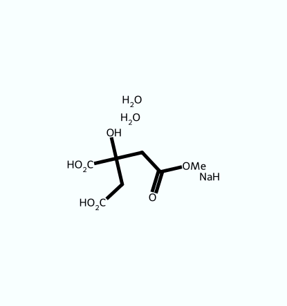 COC(=O)CC(O)(CC(=O)O)C(=O)O.O.O.[NaH]